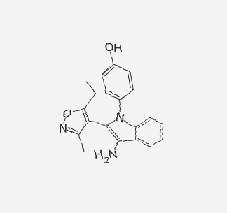 CCc1onc(C)c1-c1c(N)c2ccccc2n1-c1ccc(O)cc1